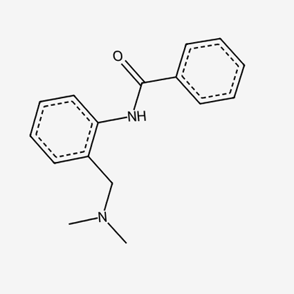 CN(C)Cc1ccccc1NC(=O)c1ccccc1